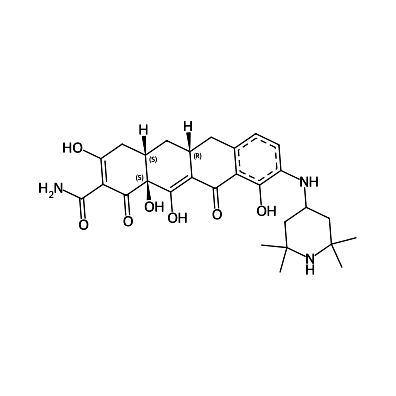 CC1(C)CC(Nc2ccc3c(c2O)C(=O)C2=C(O)[C@]4(O)C(=O)C(C(N)=O)=C(O)C[C@@H]4C[C@@H]2C3)CC(C)(C)N1